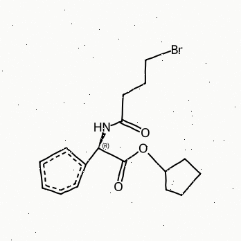 O=C(CCCBr)N[C@@H](C(=O)OC1CCCC1)c1ccccc1